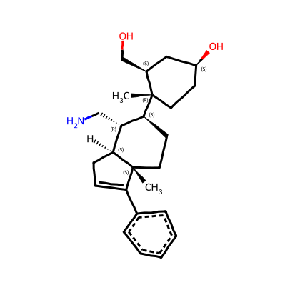 C[C@]1([C@H]2CC[C@]3(C)C(c4ccccc4)=CC[C@H]3[C@@H]2CN)CC[C@H](O)C[C@@H]1CO